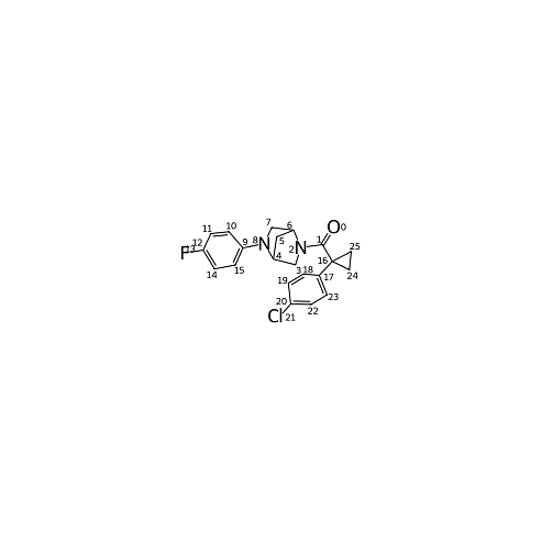 O=C(N1CC2CC1CN2c1ccc(F)cc1)C1(c2ccc(Cl)cc2)CC1